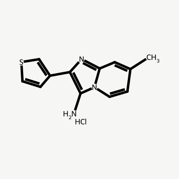 Cc1ccn2c(N)c(-c3ccsc3)nc2c1.Cl